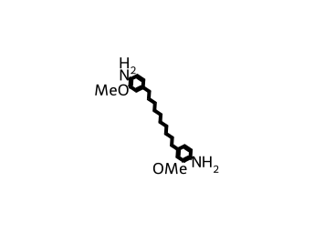 COc1cc(CCCCCCCCCCc2ccc(N)c(OC)c2)ccc1N